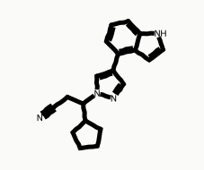 N#CCC(C1CCCC1)n1cc(-c2cccc3[nH]ccc23)cn1